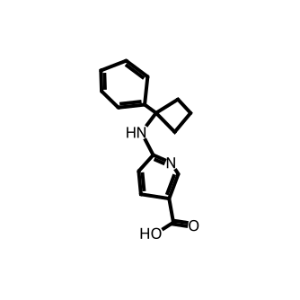 O=C(O)c1ccc(NC2(c3ccccc3)CCC2)nc1